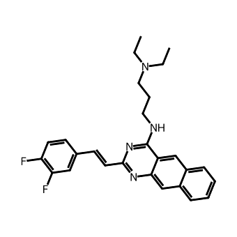 CCN(CC)CCCNc1nc(C=Cc2ccc(F)c(F)c2)nc2cc3ccccc3cc12